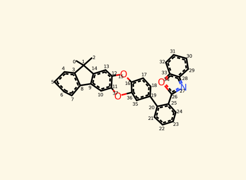 CC1(C)c2ccccc2-c2cc3c(cc21)Oc1ccc(-c2ccccc2-c2nc4ccccc4o2)cc1O3